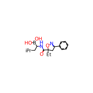 CCC1(C(=O)NC(CC(C)C)B(O)O)CC(c2ccccc2)=NO1